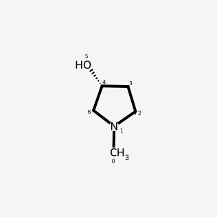 CN1[CH]C[C@@H](O)C1